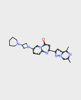 Cc1cn2nc(-c3cc(=O)n4cc(N5CC(N6CCCCC6)C5)ccc4n3)cc2c(C)n1